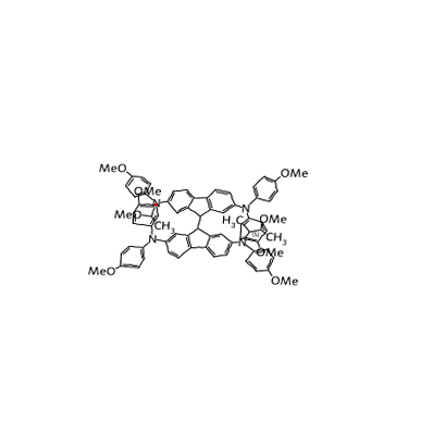 COc1ccc(N(c2ccc(OC)cc2)c2ccc3c(c2)C(C2c4cc(N(c5ccc(OC)cc5)c5ccc(OC)cc5)ccc4-c4ccc(N(c5ccc(OC)cc5)C(C)[C@H](C)OC)cc42)c2cc(N(c4ccc(OC)cc4)C(C)OC)ccc2-3)cc1